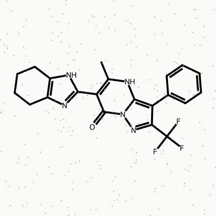 Cc1[nH]c2c(-c3ccccc3)c(C(F)(F)F)nn2c(=O)c1-c1nc2c([nH]1)CCCC2